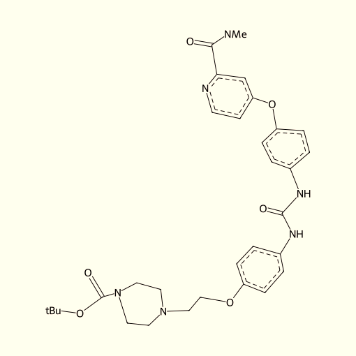 CNC(=O)c1cc(Oc2ccc(NC(=O)Nc3ccc(OCCN4CCN(C(=O)OC(C)(C)C)CC4)cc3)cc2)ccn1